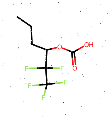 CCCC(OC(=O)O)C(F)(F)C(F)(F)F